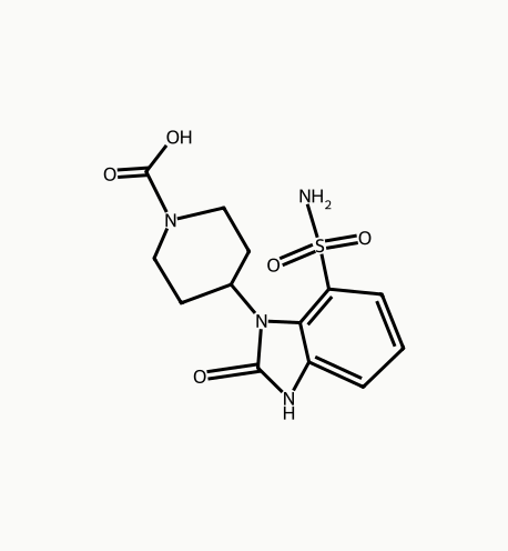 NS(=O)(=O)c1cccc2[nH]c(=O)n(C3CCN(C(=O)O)CC3)c12